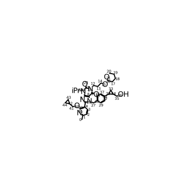 Cc1ccc(-c2nc3c(c(=O)n(CCCOC4CCCCO4)c(=O)n3C(C)C)n2Cc2ccc(C3CC3CO)cc2)c(OCC2CC2)n1